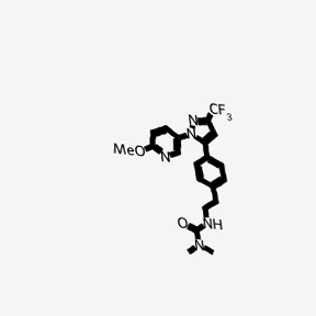 COc1ccc(-n2nc(C(F)(F)F)cc2-c2ccc(CCNC(=O)N(C)C)cc2)cn1